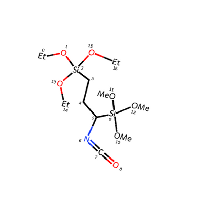 CCO[Si](CCC(N=C=O)[Si](OC)(OC)OC)(OCC)OCC